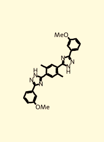 COc1cccc(-c2n[nH]c(-c3cc(C)c(-c4nc(-c5cccc(OC)c5)n[nH]4)cc3C)n2)c1